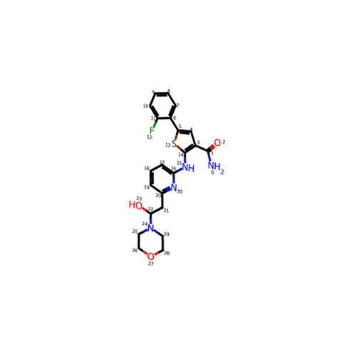 NC(=O)c1cc(-c2ccccc2F)sc1Nc1cccc(CC(O)N2CCOCC2)n1